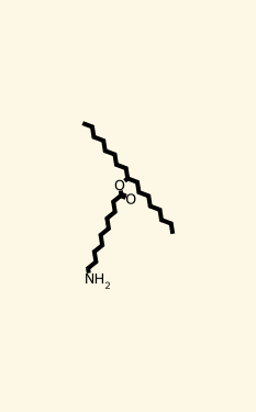 CCCCCCCCC(CCCCCCCC)OC(=O)CCCCCCCCCN